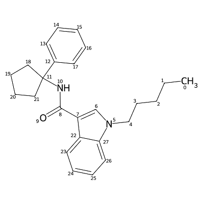 CCCCCn1cc(C(=O)NC2(c3ccccc3)CCCC2)c2ccccc21